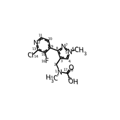 CN(Cc1cn(C)nc1-c1ccnc(Cl)c1F)C(=O)O